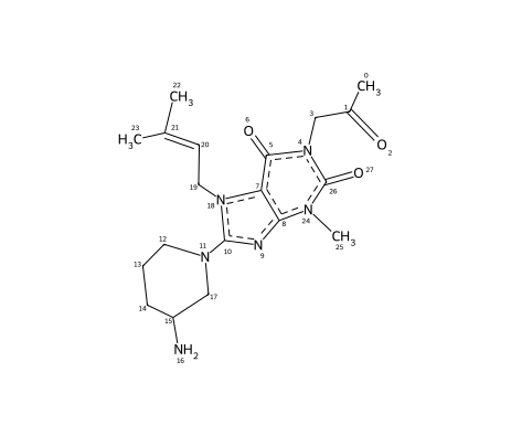 CC(=O)Cn1c(=O)c2c(nc(N3CCCC(N)C3)n2CC=C(C)C)n(C)c1=O